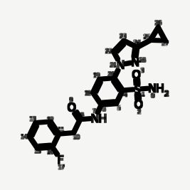 NS(=O)(=O)c1cc(NC(=O)Cc2ccccc2F)ccc1-n1ccc(C2CC2)n1